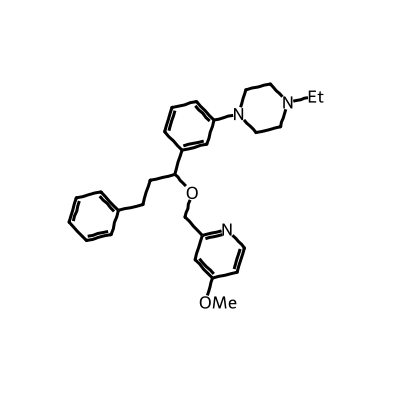 CCN1CCN(c2cccc(C(CCc3ccccc3)OCc3cc(OC)ccn3)c2)CC1